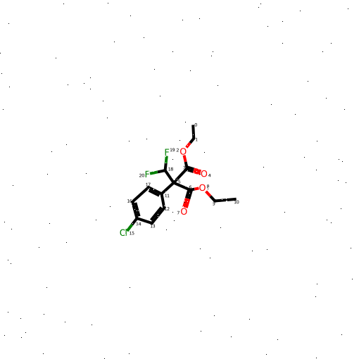 CCOC(=O)C(C(=O)OCC)(c1ccc(Cl)cc1)C(F)F